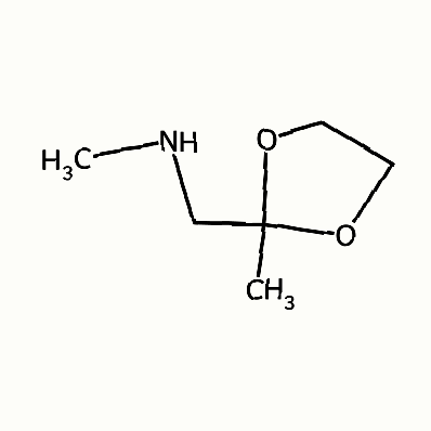 CNCC1(C)OCCO1